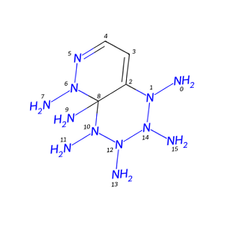 NN1C2=CC=NN(N)C2(N)N(N)N(N)N1N